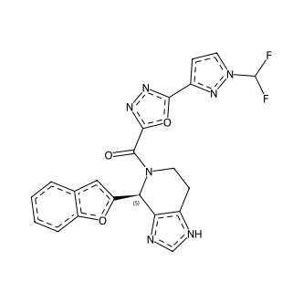 O=C(c1nnc(-c2ccn(C(F)F)n2)o1)N1CCc2[nH]cnc2[C@H]1c1cc2ccccc2o1